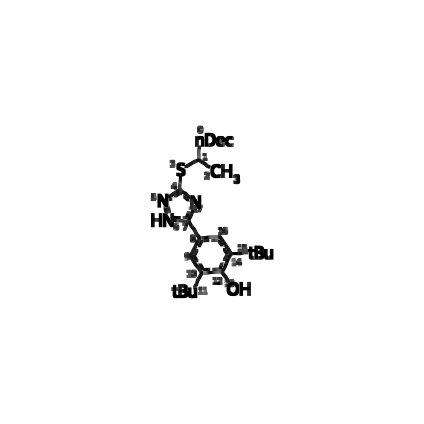 CCCCCCCCCCC(C)Sc1n[nH]c(-c2cc(C(C)(C)C)c(O)c(C(C)(C)C)c2)n1